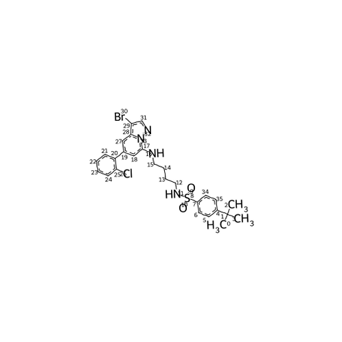 CC(C)(C)c1ccc(S(=O)(=O)NCCCCNc2cc(-c3ccccc3Cl)cc3c(Br)cnn23)cc1